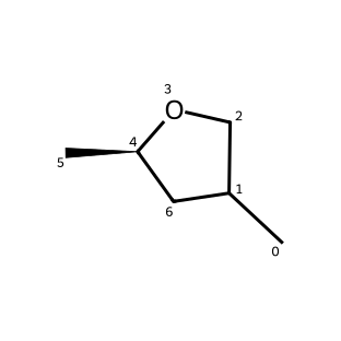 CC1CO[C@H](C)C1